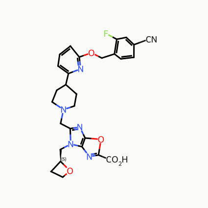 N#Cc1ccc(COc2cccc(C3CCN(Cc4nc5oc(C(=O)O)nc5n4C[C@@H]4CCO4)CC3)n2)c(F)c1